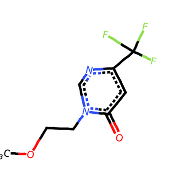 COCCn1cnc(C(F)(F)F)cc1=O